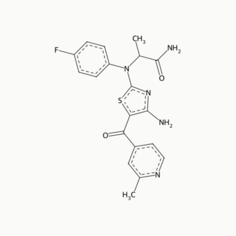 Cc1cc(C(=O)c2sc(N(c3ccc(F)cc3)C(C)C(N)=O)nc2N)ccn1